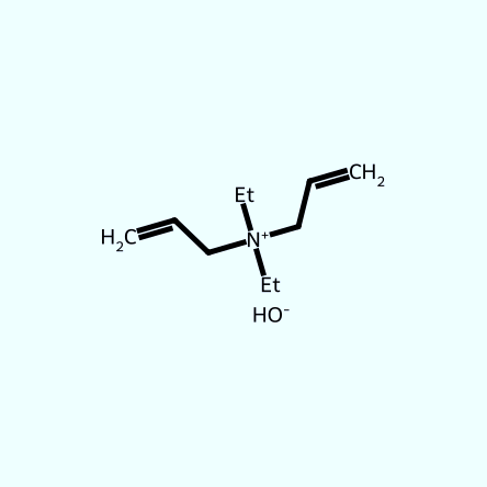 C=CC[N+](CC)(CC)CC=C.[OH-]